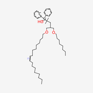 CCCCCCCC/C=C\CCCCCCCCOCC(COCCCCCCCC)CC(C)(C)[Si](O)(c1ccccc1)c1ccccc1